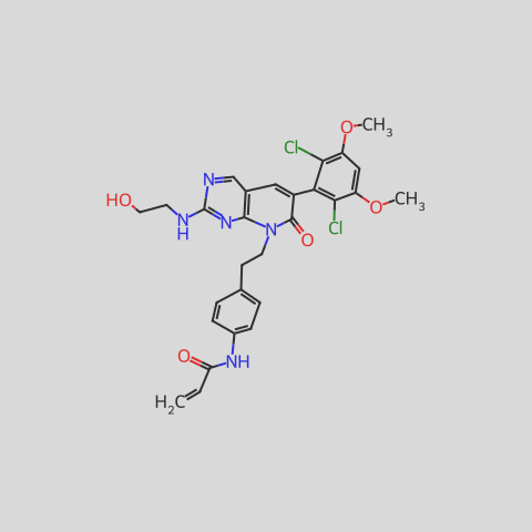 C=CC(=O)Nc1ccc(CCn2c(=O)c(-c3c(Cl)c(OC)cc(OC)c3Cl)cc3cnc(NCCO)nc32)cc1